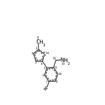 Cc1ccc(-c2cc(F)ccc2CN)s1